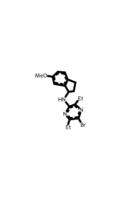 CCc1nc(NC2CCc3ccc(OC)cc32)c(CC)nc1Br